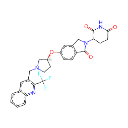 O=C1CCC(N2Cc3cc(O[C@H]4CCN(Cc5cc6ccccc6nc5C(F)(F)F)C4)ccc3C2=O)C(=O)N1